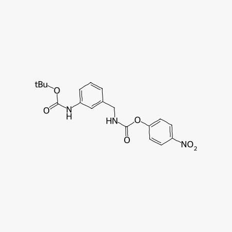 CC(C)(C)OC(=O)Nc1cccc(CNC(=O)Oc2ccc([N+](=O)[O-])cc2)c1